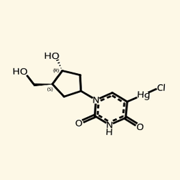 O=c1[nH]c(=O)n(C2C[C@@H](CO)[C@H](O)C2)c[c]1[Hg][Cl]